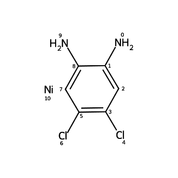 Nc1cc(Cl)c(Cl)cc1N.[Ni]